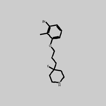 Cc1c(Br)cccc1OCCCC1(F)CCNCC1